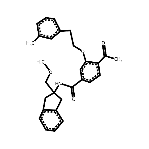 COCC1(NC(=O)c2ccc(C(C)=O)c(OCCc3cccc(C)c3)c2)Cc2ccccc2C1